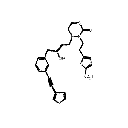 O=C(O)c1ccc(CCN2C(=O)SCCN2CC[C@@H](O)Cc2cccc(C#Cc3ccsc3)c2)s1